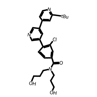 CC(C)(C)c1cc(-c2cncc(-c3ccc(C(=O)N(CCCO)CCCO)cc3Cl)c2)ccn1